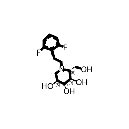 OC[C@@H]1[C@@H](O)[C@H](O)[C@@H](O)CN1CCc1c(F)cccc1F